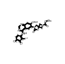 COc1cc2ncnc(Nc3ccc(Cl)c(Cl)c3F)c2cc1N1CC2(CN(C(=O)OC(C)(C)C)C2)OC1=O